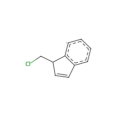 ClCC1C=Cc2ccc[c]c21